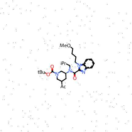 COCCCCn1c(C(=O)N(CC(C)C)[C@H]2CC(C(C)=O)CN(C(=O)OC(C)(C)C)C2)nc2ccccc21